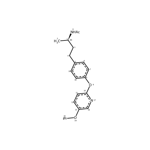 CC(=O)N[C@H](C)CCc1ccc(Oc2ccc(OC(C)C)cn2)cc1